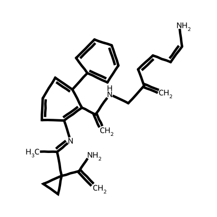 C=C(/C=C\C=C/N)CNC(=C)c1c(/N=C(\C)C2(C(=C)N)CC2)cccc1-c1ccccc1